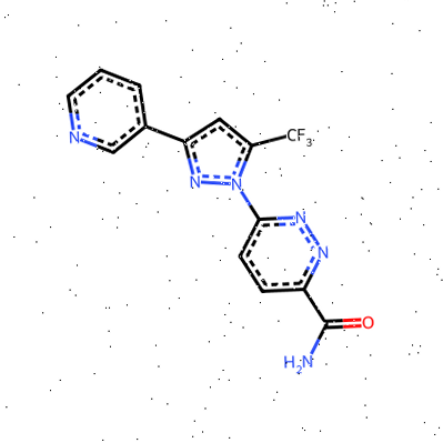 NC(=O)c1ccc(-n2nc(-c3cccnc3)cc2C(F)(F)F)nn1